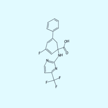 O=C(O)C1(Nc2nccc(C(F)(F)F)n2)C=C(F)C=C(c2ccccc2)C1